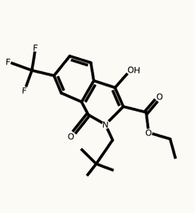 CCOC(=O)c1c(O)c2ccc(C(F)(F)F)cc2c(=O)n1CC(C)(C)C